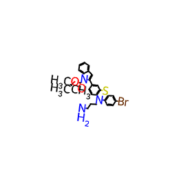 CC(C)(C)OC(=O)n1c(-c2ccc3c(c2)Sc2cc(Br)ccc2N3CCCN)cc2ccccc21